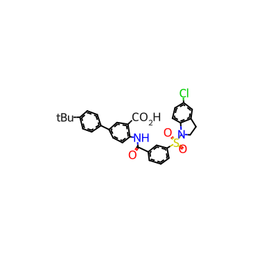 CC(C)(C)c1ccc(-c2ccc(NC(=O)c3cccc(S(=O)(=O)N4CCc5cc(Cl)ccc54)c3)c(C(=O)O)c2)cc1